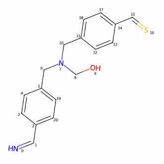 N=Cc1ccc(CN(CO)Cc2ccc(C=S)cc2)cc1